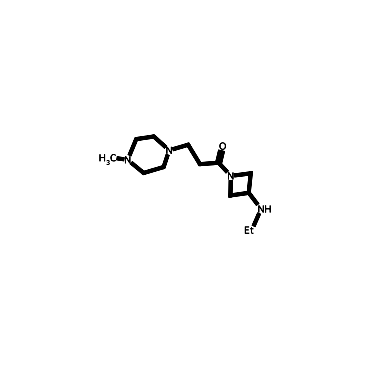 CCNC1CN(C(=O)CCN2CCN(C)CC2)C1